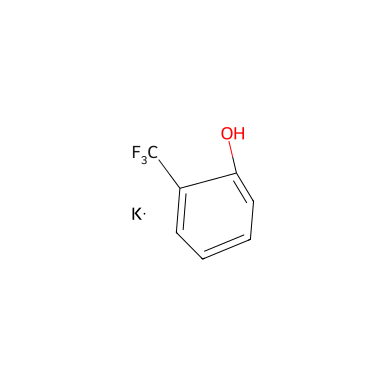 Oc1ccccc1C(F)(F)F.[K]